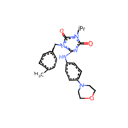 Cc1ccc(Cn2c(Nc3ccc(N4CCOCC4)cc3)nc(=O)n(C(C)C)c2=O)cc1